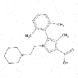 Cc1cccc(C)c1-c1c(C)c(C(=O)O)cn1CCN1CCCCC1